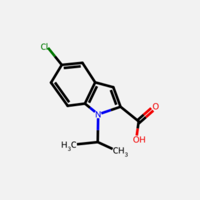 CC(C)n1c(C(=O)O)cc2cc(Cl)ccc21